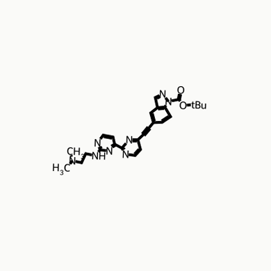 CN(C)CCNc1nccc(-c2nccc(C#Cc3ccc4c(cnn4C(=O)OC(C)(C)C)c3)n2)n1